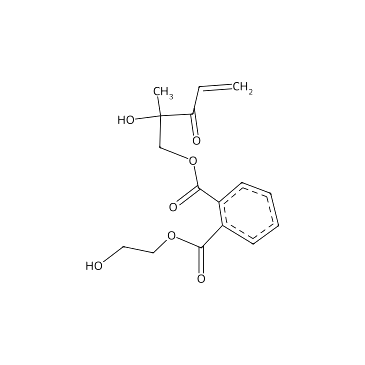 C=CC(=O)C(C)(O)COC(=O)c1ccccc1C(=O)OCCO